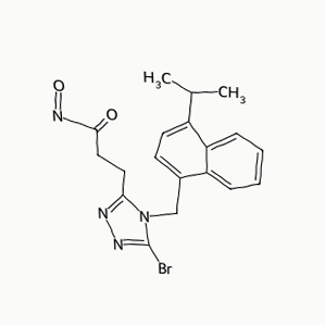 CC(C)c1ccc(Cn2c(Br)nnc2CCC(=O)N=O)c2ccccc12